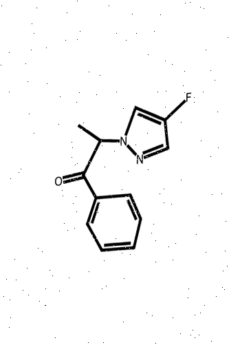 CC(C(=O)c1ccccc1)n1cc(F)cn1